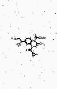 CNCC(N)c1ccc2c(c1)N(C(=O)C1CC1)C[C@H](C)N2C(=O)OC